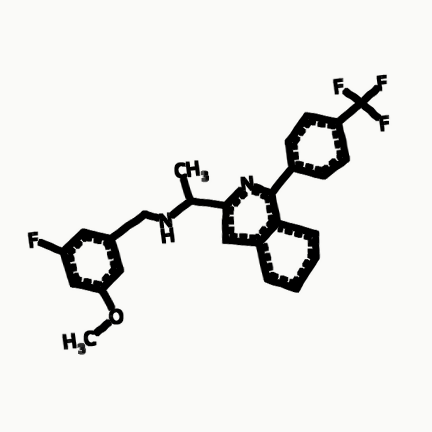 COc1cc(F)cc(CNC(C)c2cc3ccccc3c(-c3ccc(C(F)(F)F)cc3)n2)c1